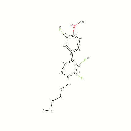 CCCCCCc1ccc(-c2ccc(OC)c(F)c2)c(F)c1F